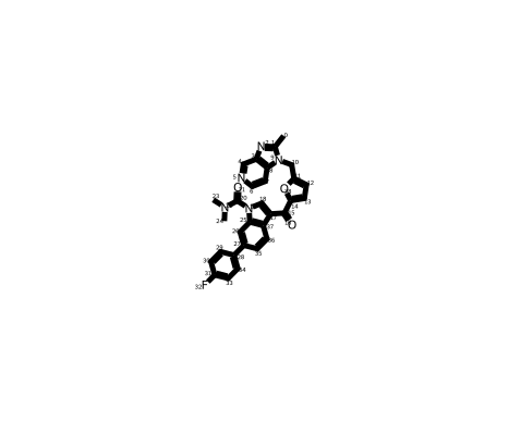 Cc1nc2cnccc2n1Cc1ccc(C(=O)c2cn(C(=O)N(C)C)c3cc(-c4ccc(F)cc4)ccc23)o1